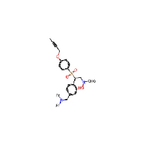 CC#CCOc1ccc(S(=O)(=O)C(CN(O)C=O)c2ccc(CN(CC)CC)cc2)cc1